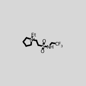 CC[N+]1(CCS(=O)(=O)NCC(F)(F)F)CCCC1